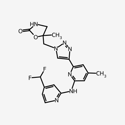 Cc1cc(Nc2cc(C(F)F)ccn2)nc(-c2cn(CC3(C)CNC(=O)O3)nn2)c1